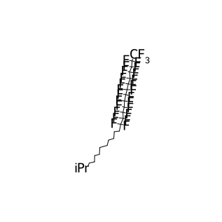 CC(C)CCCCCCCCCCC(F)(F)C(F)(F)C(F)(F)C(F)(F)C(F)(F)C(F)(F)C(F)(F)C(F)(F)C(F)(F)C(F)(F)C(F)(F)C(F)(F)C(F)(F)F